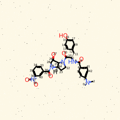 CN(C)c1ccc(C(=O)N[C@@H](Cc2ccc(O)cc2)C(=O)N2CC[C@@H]3C2C(=O)CN3C(=O)c2cccc([N+](=O)[O-])c2)cc1